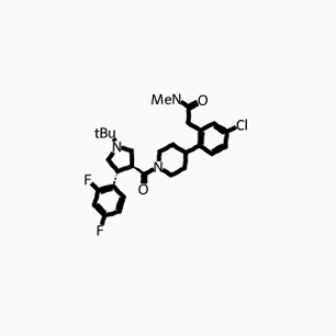 CNC(=O)Cc1cc(Cl)ccc1C1CCN(C(=O)[C@@H]2CN(C(C)(C)C)C[C@H]2c2ccc(F)cc2F)CC1